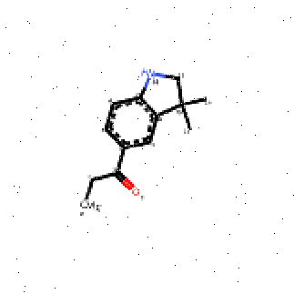 CC(=O)OCC(=O)c1ccc2c(c1)C(C)(C)CN2